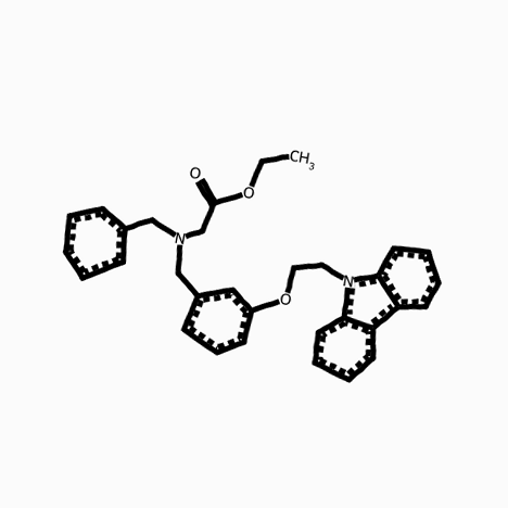 CCOC(=O)CN(Cc1ccccc1)Cc1cccc(OCCn2c3ccccc3c3ccccc32)c1